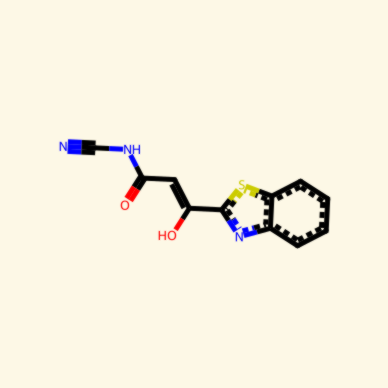 N#CNC(=O)C=C(O)c1nc2ccccc2s1